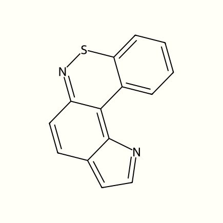 c1ccc2c(c1)snc1ccc3ccnc3c12